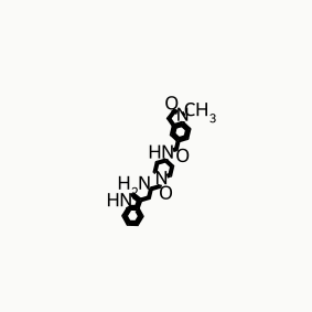 CN1C(=O)Cc2cc(C(=O)NC3CCN(C(=O)C(N)Cc4c[nH]c5ccccc45)CC3)ccc21